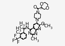 COc1nc2nc(C)nc(N[C@H](C)c3cccc(C(F)(F)F)c3C)c2cc1N1CCN(C(=O)[C@@H]2COCCO2)CC1